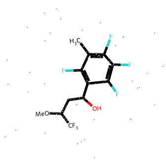 COC(CC(O)c1c(F)c(C)c(F)c(F)c1F)C(F)(F)F